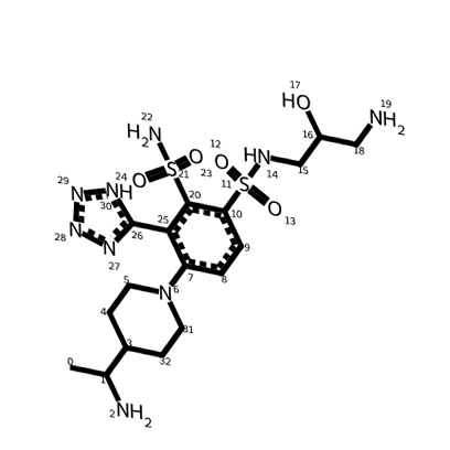 CC(N)C1CCN(c2ccc(S(=O)(=O)NCC(O)CN)c(S(N)(=O)=O)c2-c2nnn[nH]2)CC1